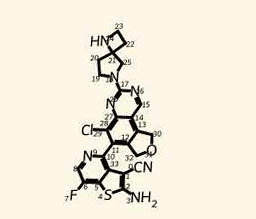 N#Cc1c(N)sc2c(F)cnc(-c3c4c(c5cnc(N6CCC7(CCN7)C6)nc5c3Cl)COC4)c12